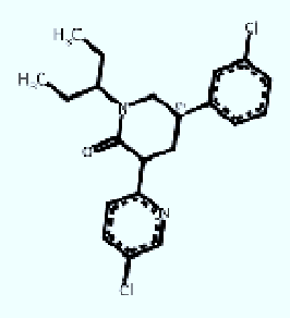 CCC(CC)N1C[C@@H](c2cccc(Cl)c2)CC(c2ccc(Cl)cn2)C1=O